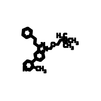 Cc1cnccc1-c1ccc2c(c1)c(C=Cc1ccccc1)nn2COCC[Si](C)(C)C